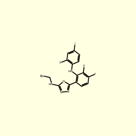 CCC(C)CNc1nnc(-c2ccc(F)c(F)c2Nc2ccc(I)cc2F)o1